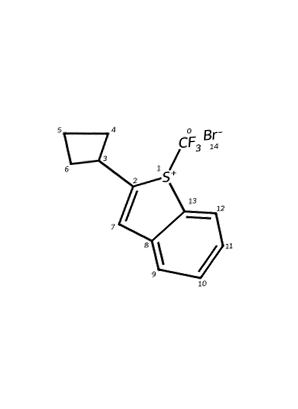 FC(F)(F)[s+]1c(C2CCC2)cc2ccccc21.[Br-]